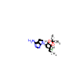 C=C[C@@]1(F)C[C@@H](n2ccc3c(N)ncnc32)[C@@H]2OC(C)(C)O[C@@H]21